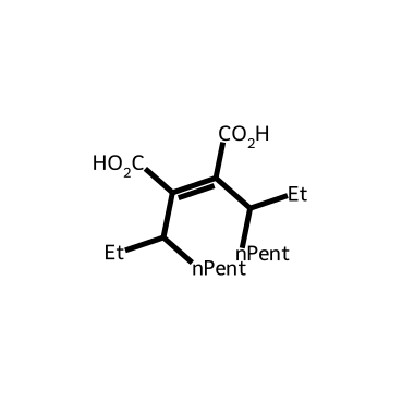 CCCCCC(CC)C(C(=O)O)=C(C(=O)O)C(CC)CCCCC